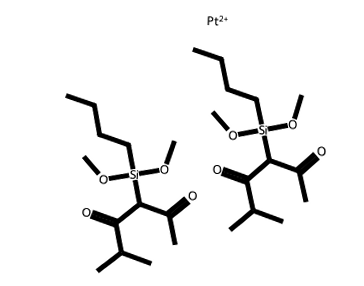 CCCC[Si](OC)(OC)C(C(C)=O)C(=O)C(C)C.CCCC[Si](OC)(OC)C(C(C)=O)C(=O)C(C)C.[Pt+2]